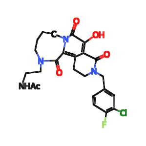 CC(=O)NCCN1CCCCn2c(c3c(c(O)c2=O)C(=O)N(Cc2ccc(F)c(Cl)c2)CC3)C1=O